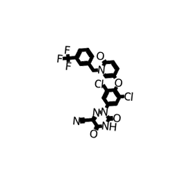 N#Cc1nn(-c2cc(Cl)c(Oc3ccc(=O)n(Cc4cccc(C(F)(F)F)c4)c3)c(Cl)c2)c(=O)[nH]c1=O